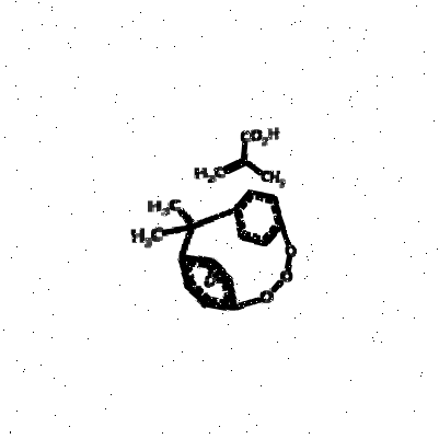 C=C(C)C(=O)O.CC1(C)c2ccc(cc2)OOOc2ccc1c1c2O1